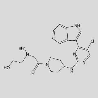 CCCN(CCO)CC(=O)N1CCC(Nc2ncc(Cl)c(-c3c[nH]c4ccccc34)n2)CC1